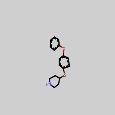 c1ccc(Oc2ccc(SC3CCNCC3)cc2)cc1